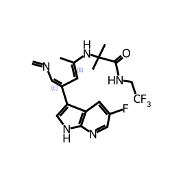 C=N/C=C(\C=C(/C)NC(C)(C)C(=O)NCC(F)(F)F)c1c[nH]c2ncc(F)cc12